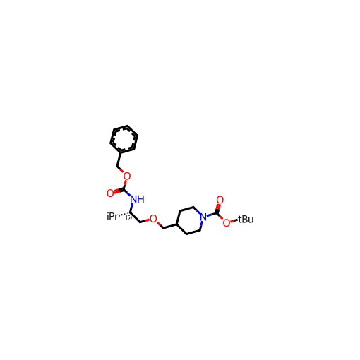 CC(C)[C@@H](COCC1CCN(C(=O)OC(C)(C)C)CC1)NC(=O)OCc1ccccc1